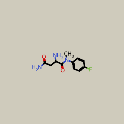 CN(C(=O)C(N)CC(N)=O)c1ccc(F)cc1